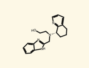 OCCN(Cc1nc2ccccc2[nH]1)[C@H]1CCCc2cccnc21